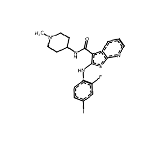 CN1CCC(NC(=O)c2c(Nc3ccc(I)cc3F)sc3ncccc23)CC1